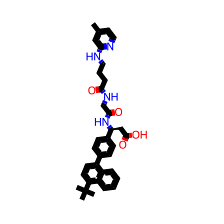 Cc1ccnc(NCCCC(=O)NCC(=O)N[C@@H](CC(=O)O)c2ccc(-c3ccc(C(C)(C)C)c4ccccc34)cc2)c1